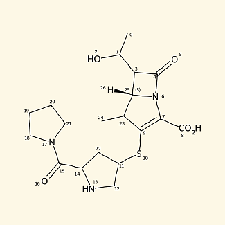 CC(O)C1C(=O)N2C(C(=O)O)=C(SC3CNC(C(=O)N4CCCC4)C3)C(C)[C@H]12